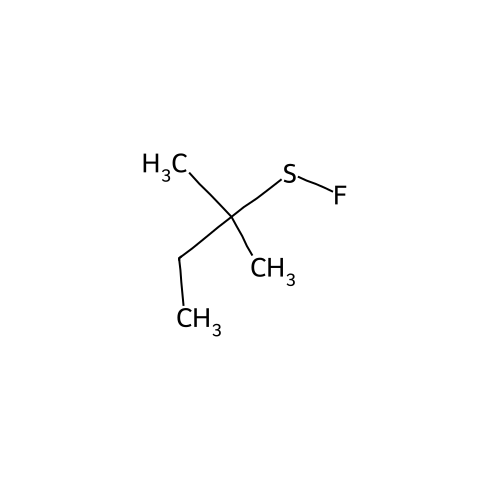 CCC(C)(C)SF